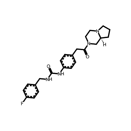 O=C(NCc1ccc(F)cc1)Nc1ccc(CC(=O)N2CCN3CCC[C@H]3C2)cc1